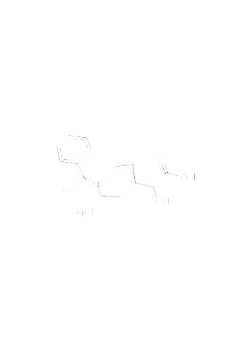 CC(C(=O)O)C1CCN(C(=O)c2ccccc2)CC1.Cl